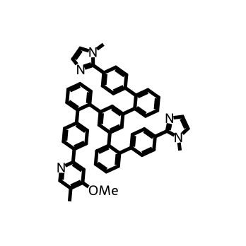 COc1cc(-c2ccc(-c3ccccc3-c3cc(-c4ccccc4-c4ccc(-c5nccn5C)cc4)cc(-c4ccccc4-c4ccc(-c5nccn5C)cc4)c3)cc2)ncc1C